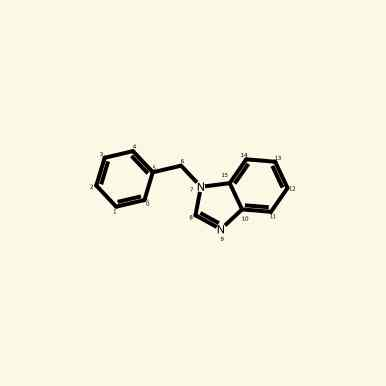 [c]1ccccc1Cn1cnc2ccccc21